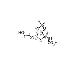 CC1(C)OC2[C@@H](OCCO)C[C@@H](NC(=O)O)[C@@H]2O1